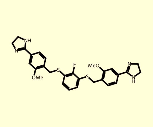 COc1cc(C2=NCCN2)ccc1CSc1cccc(SCc2ccc(C3=NCCN3)cc2OC)c1F